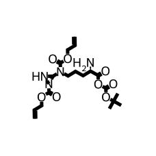 C=CCOC(=O)N(CCC[C@H](N)C(=O)OC(=O)OC(C)(C)C)C1NN1C(=O)OCC=C